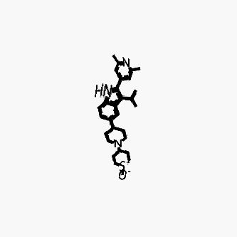 Cc1cc(-c2[nH]c3ccc(C4CCN(C5CC[S+]([O-])CC5)CC4)cc3c2C(C)C)cc(C)n1